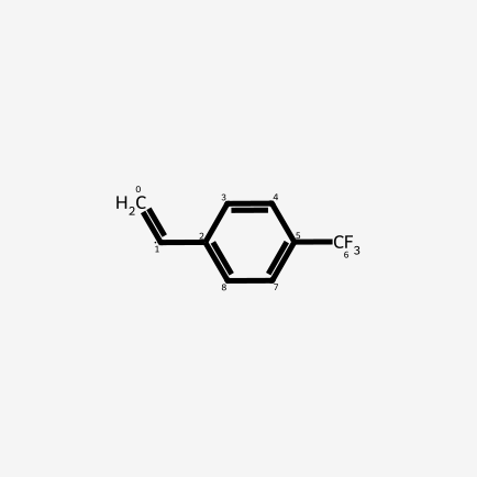 C=[C]c1ccc(C(F)(F)F)cc1